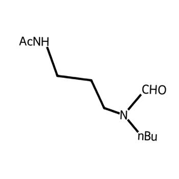 CCCCN(C=O)CCCNC(C)=O